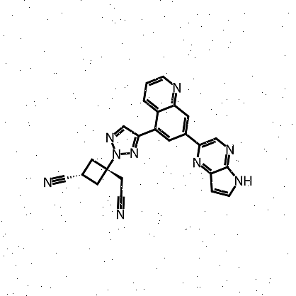 N#CC[C@]1(n2ncc(-c3cc(-c4cnc5[nH]ccc5n4)cc4ncccc34)n2)C[C@@H](C#N)C1